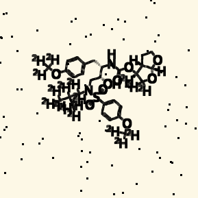 [2H]C([2H])([2H])Oc1ccc(C[C@H](NC(=O)O[C@]2([2H])[C@@H]3CCO[C@@H]3OC2([2H])[2H])[C@H](O)CN(C([2H])([2H])C([2H])(C([2H])([2H])[2H])C([2H])([2H])[2H])S(=O)(=O)c2ccc(OC([2H])([2H])[2H])cc2)cc1